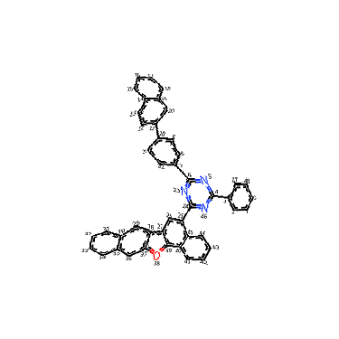 c1ccc(-c2nc(-c3ccc(-c4ccc5ccccc5c4)cc3)nc(-c3cc4c5cc6ccccc6cc5oc4c4ccccc34)n2)cc1